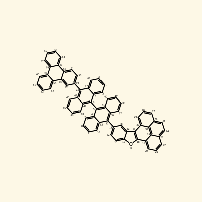 c1ccc2c(-c3c4ccccc4c(-c4ccc5oc6c7cccc8ccc9cccc(c6c5c4)c9c87)c4ccccc34)c3ccccc3c(-c3ccc4c5ccccc5c5ccccc5c4c3)c2c1